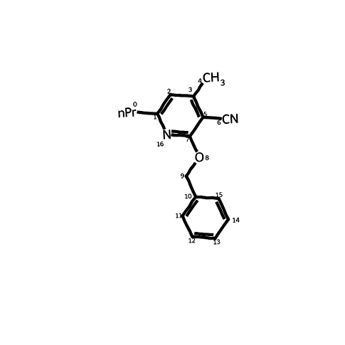 CCCc1cc(C)c(C#N)c(OCc2ccccc2)n1